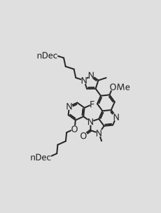 CCCCCCCCCCCCCCOc1cncc(F)c1-n1c(=O)n(C)c2cnc3cc(OC)c(-c4cn(CCCCCCCCCCCCCC)nc4C)cc3c21